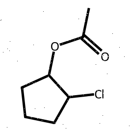 CC(=O)OC1CCCC1Cl